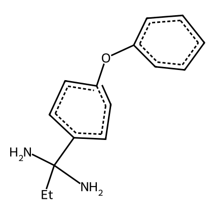 CCC(N)(N)c1ccc(Oc2ccccc2)cc1